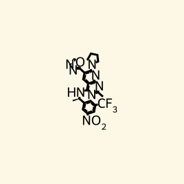 Cc1nc(N[C@H](C)c2cc([N+](=O)[O-])cc(C(F)(F)F)c2)c2cc(-c3nnco3)c(N3CCCC3)nc2n1